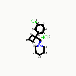 Cl.Clc1cccc(C2(CN3CCCCC3)CCC2)c1